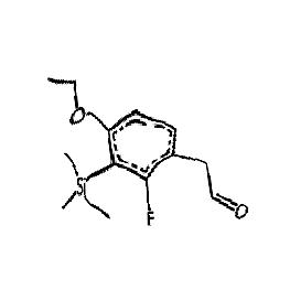 CCOc1ccc(CC=O)c(F)c1[Si](C)(C)C